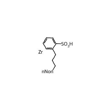 CCCCCCCCCCCCc1ccccc1S(=O)(=O)O.[Zr]